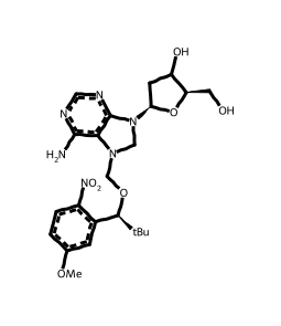 COc1ccc([N+](=O)[O-])c([C@@H](OCN2CN([C@H]3CC(O)[C@@H](CO)O3)c3ncnc(N)c32)C(C)(C)C)c1